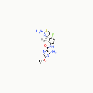 COc1cnc(C(=O)Nc2ccc(F)c(C3(C)CCSC(N)=N3)c2)c(N)n1